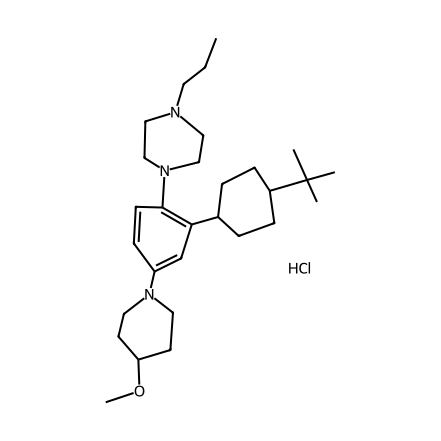 CCCN1CCN(c2ccc(N3CCC(OC)CC3)cc2C2CCC(C(C)(C)C)CC2)CC1.Cl